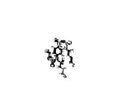 CCCCC(C)N(N=O)c1cc(N(N=O)C(C)CCCC)c([N+](=O)[O-])cc1[N+](=O)[O-]